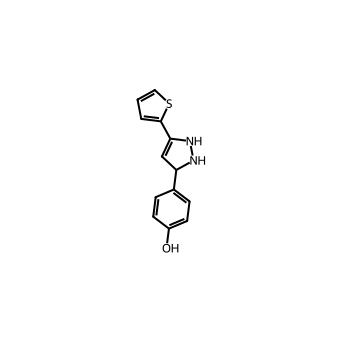 Oc1ccc(C2C=C(c3cccs3)NN2)cc1